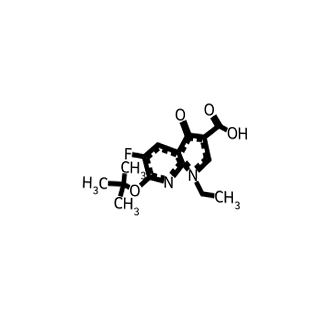 CCn1cc(C(=O)O)c(=O)c2cc(F)c(OC(C)(C)C)nc21